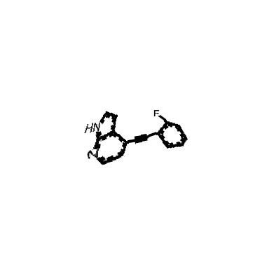 Fc1ccccc1C#Cc1ccnc2[nH]ccc12